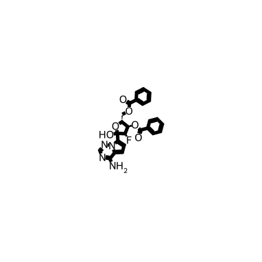 Nc1ncnn2c(C3(O)O[C@H](COC(=O)c4ccccc4)[C@@H](OC(=O)c4ccccc4)[C@H]3F)ccc12